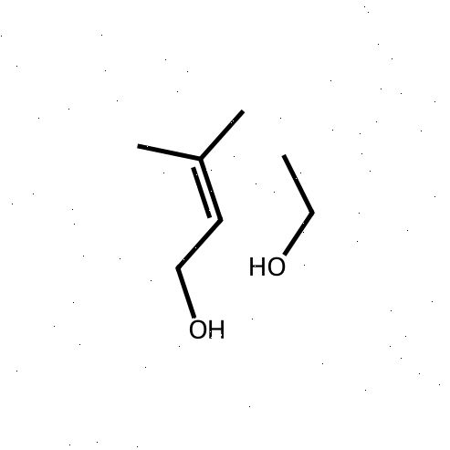 CC(C)=CCO.CCO